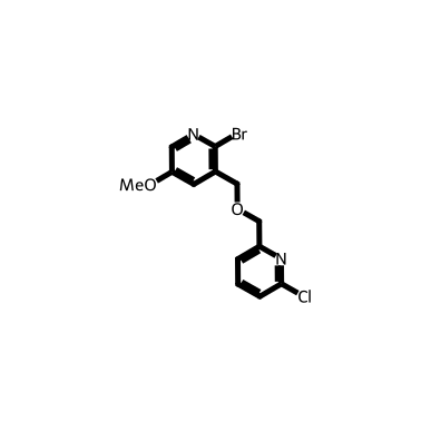 COc1cnc(Br)c(COCc2cccc(Cl)n2)c1